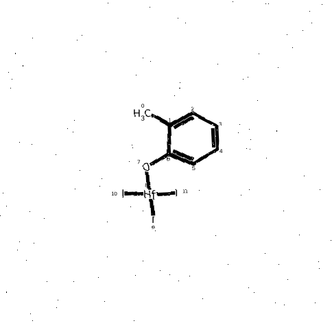 Cc1ccccc1[O][Hf]([I])([I])[I]